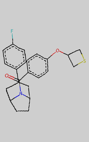 O=C(c1ccc(OC2CSC2)cc1)N1C2CCC1CC(c1ccc(F)cc1)C2